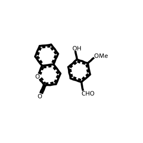 COc1cc(C=O)ccc1O.O=c1ccc2ccccc2o1